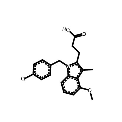 COc1cccc2c1c(C)c(CCC(=O)O)n2Cc1ccc(Cl)cc1